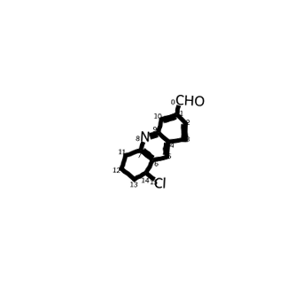 O=Cc1ccc2cc3c(nc2c1)CCCC3Cl